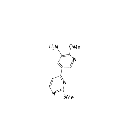 COc1ncc(-c2ccnc(SC)n2)cc1N